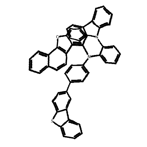 c1ccc(-n2c3ccccc3c3ccccc32)c(N(c2ccc(-c3ccc4sc5ccccc5c4c3)cc2)c2cccc3oc4c5ccccc5ccc4c23)c1